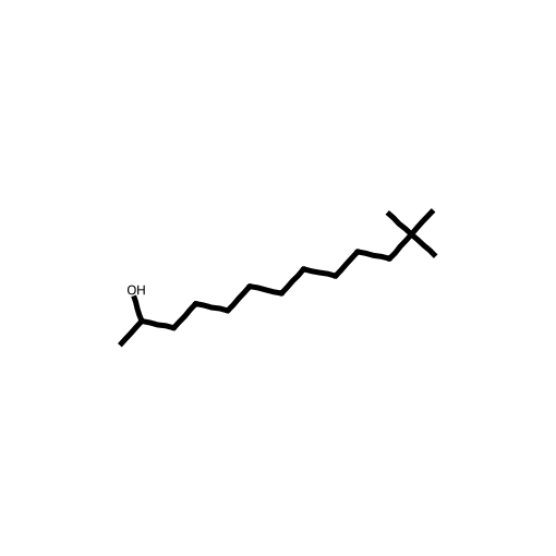 CC(O)CCCCCCCCCC(C)(C)C